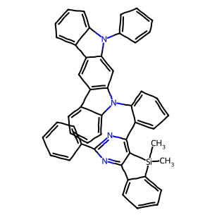 C[Si]1(C)c2ccccc2-c2nc(-c3ccccc3)nc(-c3ccccc3-n3c4ccccc4c4cc5c6ccccc6n(-c6ccccc6)c5cc43)c21